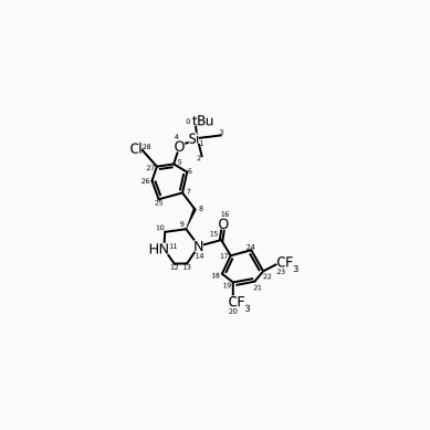 CC(C)(C)[Si](C)(C)Oc1cc(C[C@@H]2CNCCN2C(=O)c2cc(C(F)(F)F)cc(C(F)(F)F)c2)ccc1Cl